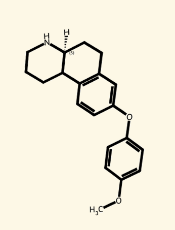 COc1ccc(Oc2ccc3c(c2)CC[C@@H]2NCCCC32)cc1